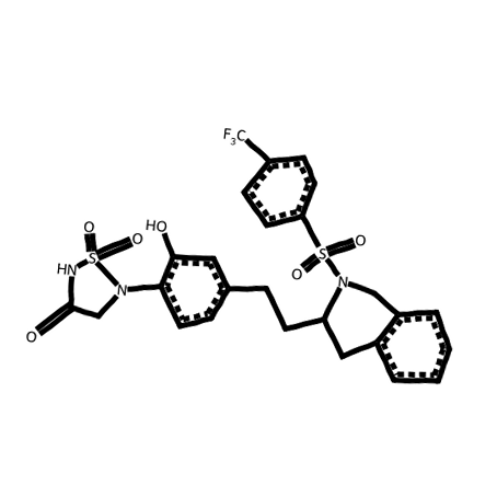 O=C1CN(c2ccc(CCC3Cc4ccccc4CN3S(=O)(=O)c3ccc(C(F)(F)F)cc3)cc2O)S(=O)(=O)N1